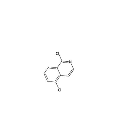 Clc1cccc2c(Cl)nccc12